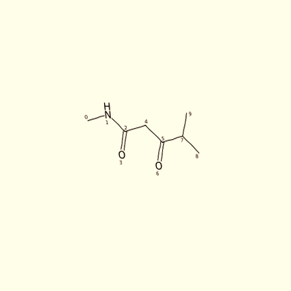 CNC(=O)CC(=O)C(C)C